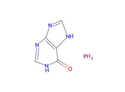 O=c1[nH]cnc2nc[nH]c12.P